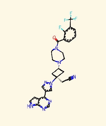 N#CC[C@]1(n2cc(-c3ncnc4[nH]ccc34)cn2)C[C@H](N2CCN(C(=O)c3cccc(C(F)(F)F)c3F)CC2)C1